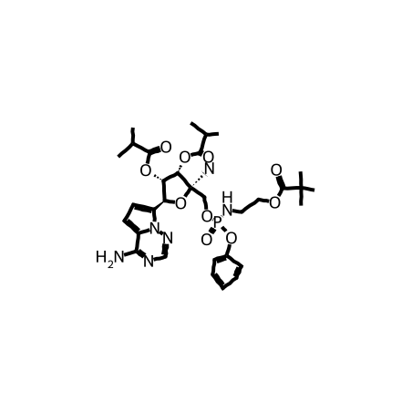 CC(C)C(=O)O[C@H]1[C@H](c2ccc3c(N)ncnn23)O[C@](C#N)(COP(=O)(NCCOC(=O)C(C)(C)C)Oc2ccccc2)[C@H]1OC(=O)C(C)C